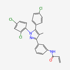 C=CC(=O)Nc1cccc(-c2nn(-c3ccc(Cl)cc3Cl)c(-c3ccc(Cl)cc3)c2C)c1